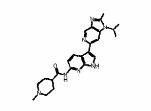 Cc1nc2cnc(-c3c[nH]c4nc(NC(=O)C5CCN(C)CC5)ccc34)cc2n1C(C)C